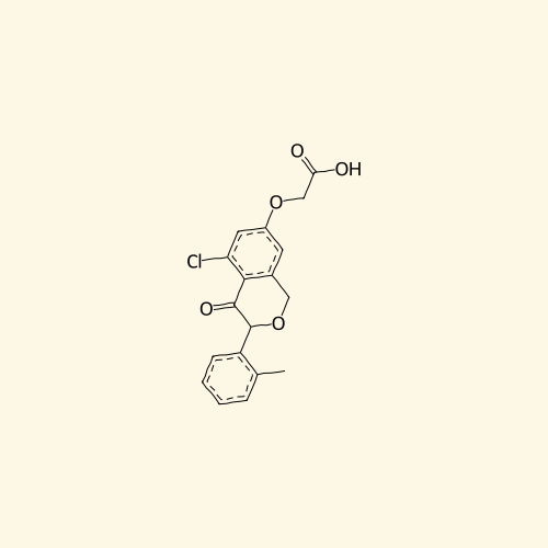 Cc1ccccc1C1OCc2cc(OCC(=O)O)cc(Cl)c2C1=O